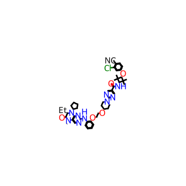 CC[C@@H]1C(=O)N(C)c2cnc(Nc3ccccc3OCCOC3CCN(c4ncc(C(=O)NC5C(C)(C)C(Oc6ccc(C#N)c(Cl)c6)C5(C)C)cn4)CC3)nc2N1C1CCCC1